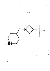 CC(C)(C)C1CN(CC2CCNCC2)C1